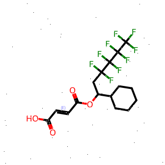 O=C(O)/C=C/C(=O)OC(CC(F)(F)C(F)(F)C(F)(F)C(F)(F)F)C1CCCCC1